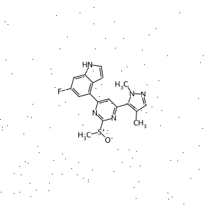 Cc1cnn(C)c1-c1cc(-c2cc(F)cc3[nH]ccc23)nc([S+](C)[O-])n1